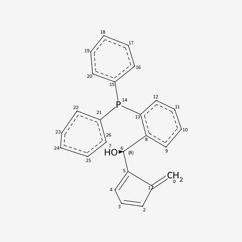 C=C1C=CC=C1[C@@H](O)c1ccccc1P(c1ccccc1)c1ccccc1